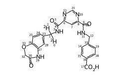 [2H]C([2H])(NC(=O)c1cc(C(=O)NCc2ccc(C(=O)O)cc2)ncn1)c1ccc2c(c1)NC(=O)CO2